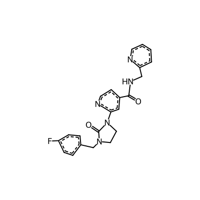 O=C(NCc1ccccn1)c1ccnc(N2CCN(Cc3ccc(F)cc3)C2=O)c1